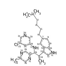 C=C(C)CCCCc1ccc2[nH]cc(C(=C)C(Nc3cncc(Cl)c3)c3cnc(C)cn3)c2c1